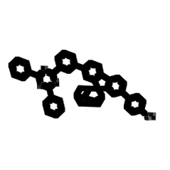 N#Cc1ccc(-c2ccc3c(c2)C2(c4cc(-c5cccc(-c6nc(-c7ccccc7)nc(-c7ccccc7)n6)c5)ccc4-3)C3CC4CC(C3)CC2C4)cc1